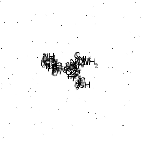 COP(=O)(S)OC[C@H]1O[C@@H](n2cnc3c(=O)[nH]c(N)nc32)[C@H](OP(=O)(S)OC[C@]23CO[C@H](C2)[C@H](n2cnc4c(N)ncnc42)O3)C1(F)F